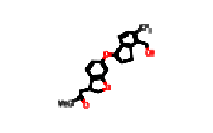 COC(=O)CC1COc2cc(O[C@@H]3CCc4c3ccc(C(F)(F)F)c4CO)ccc21